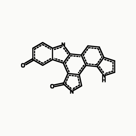 O=c1ccc2nc3c4ccc5cc[nH]c5c4c4cnc(=O)c4c3c-2c1